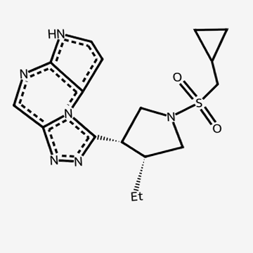 CC[C@H]1CN(S(=O)(=O)CC2CC2)C[C@H]1c1nnc2cnc3[nH]ccc3n12